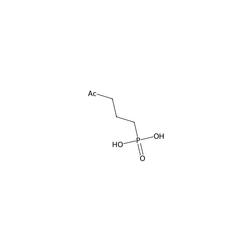 CC(=O)CCCP(=O)(O)O